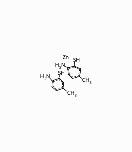 Cc1ccc(N)c(S)c1.Cc1ccc(N)c(S)c1.[Zn]